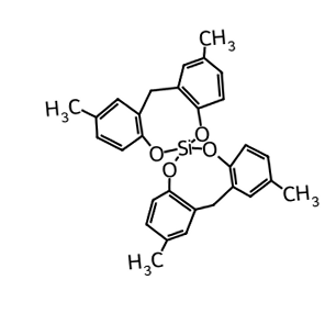 Cc1ccc2c(c1)Cc1cc(C)ccc1O[Si]1(O2)Oc2ccc(C)cc2Cc2cc(C)ccc2O1